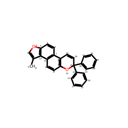 Cc1coc2ccc3c4c(ccc3c12)OC(c1ccccc1)(c1ccccc1)C=C4